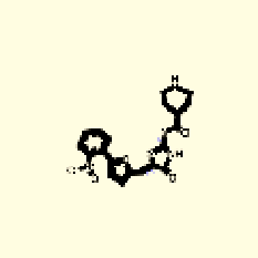 O=C1N/C(=N\C(=O)C2CCNCC2)S/C1=C\c1ccc(-c2ccccc2[N+](=O)[O-])o1